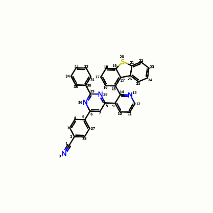 N#Cc1ccc(-c2cc(-c3cccnc3-c3cccc4sc5ccccc5c34)nc(-c3ccccc3)n2)cc1